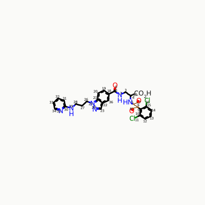 O=C(NCC(NS(=O)(=O)c1c(Cl)cccc1Cl)C(=O)O)c1ccc2c(cnn2CCCNc2ccccn2)c1